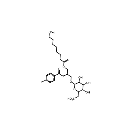 CCCCCCCCCCCCCCCCCC(=O)OCC(COC1OC(CS(=O)(=O)O)C(O)C(O)C1O)OC(=O)c1ccc(I)cc1